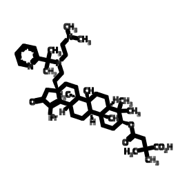 CC(C)C1=C2[C@H]3CC[C@@H]4[C@@]5(C)CC[C@H](OC(=O)CC(C)(C)C(=O)O)C(C)(C)[C@@H]5CC[C@@]4(C)[C@]3(C)CC[C@@]2(CCN(CCN(C)C)C(C)(C)c2ccccn2)CC1=O